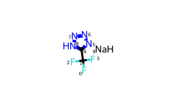 FC(F)(F)c1nnn[nH]1.[NaH]